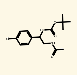 CC(=O)NCC(NC(=O)OC(C)(C)C)c1ccc(Cl)cc1